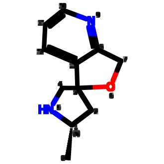 C[C@H]1CC2(CN1)OCc1ncccc12